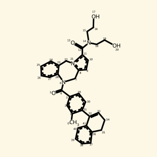 Cc1cc(C(=O)N2Cc3ccc(C(=O)N(CCO)CCO)n3Cc3ccccc32)ccc1C1=CCCc2ccccc21